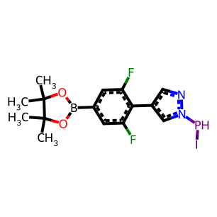 CC1(C)OB(c2cc(F)c(-c3cnn(PI)c3)c(F)c2)OC1(C)C